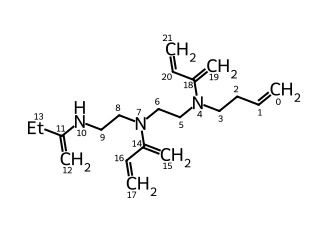 C=CCCN(CCN(CCNC(=C)CC)C(=C)C=C)C(=C)C=C